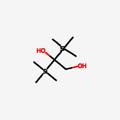 C[Si](C)(C)C(O)(CO)[Si](C)(C)C